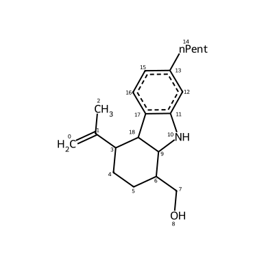 C=C(C)C1CCC(CO)C2Nc3cc(CCCCC)ccc3C12